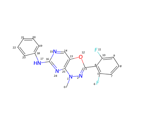 CN1N=C(c2c(F)cccc2F)Oc2cnc(Nc3ccccc3)nc21